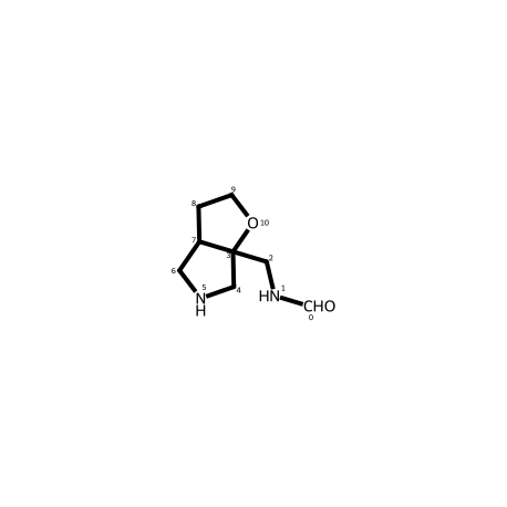 O=CNCC12CNCC1CCO2